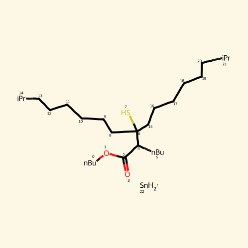 CCCCOC(=O)C(CCCC)C(S)(CCCCCCC(C)C)CCCCCCC(C)C.[SnH2]